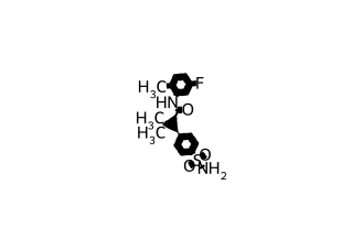 Cc1ccc(F)cc1NC(=O)[C@H]1[C@H](c2ccc(S(N)(=O)=O)cc2)C1(C)C